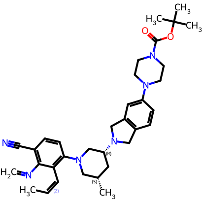 C=Nc1c(C#N)ccc(N2C[C@@H](C)C[C@@H](N3Cc4ccc(N5CCN(C(=O)OC(C)(C)C)CC5)cc4C3)C2)c1/C=C\C